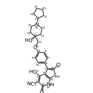 N#Cc1c(O)c2c(-c3ccc(OCC4(O)CCN(C5CCCC5)CC4)cc3)c(Cl)sc2[nH]c1=O